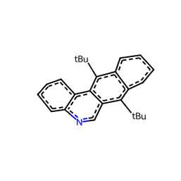 CC(C)(C)c1c2ccccc2c(C(C)(C)C)c2c1cnc1ccccc12